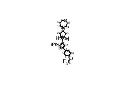 CC(C)n1nc(-c2ccc(OC(F)(F)F)cc2)cc1C1[C@H]2CC(N3CCCOCC3)C[C@@H]12